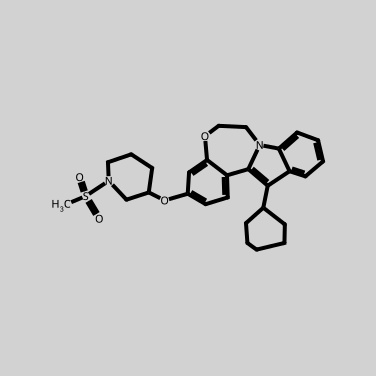 CS(=O)(=O)N1CCCC(Oc2ccc3c(c2)OCCn2c-3c(C3CCCCC3)c3ccccc32)C1